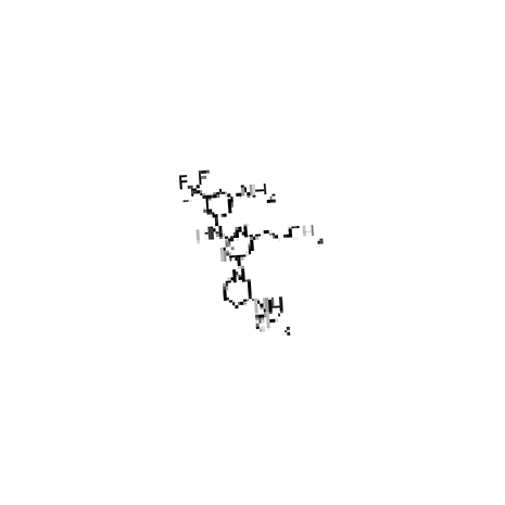 CCCc1cc(N2CCC[C@@H](NC)C2)nc(Nc2cc(N)cc(C(F)(F)F)c2)n1